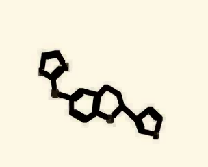 c1csc(Oc2ccc3c(c2)CCC(c2ccsc2)O3)n1